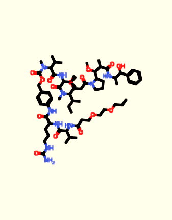 CCCOCCOCCC(=O)NC(C(=O)NC(CCCNC(N)=O)C(=O)Nc1ccc(COC(=O)N(C)C(C(=O)NC(C(=O)N(C)C(C(C)CC)C(CC(=O)N2CCCC2C(OC)C(C)C(=O)NC(C)C(O)c2ccccc2)OC)C(C)C)C(C)C)cc1)C(C)C